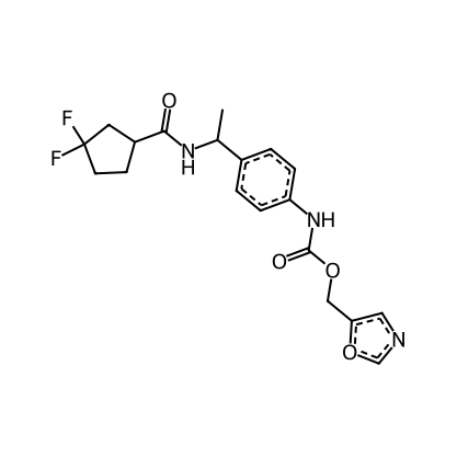 CC(NC(=O)C1CCC(F)(F)C1)c1ccc(NC(=O)OCc2cnco2)cc1